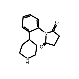 O=C1CCC(=O)N1c1ccccc1C1CCNCC1